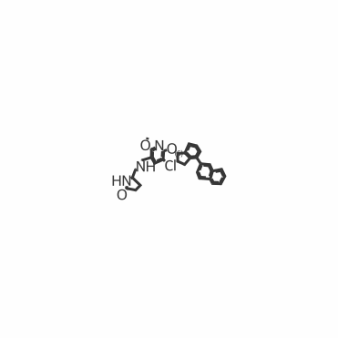 COc1nc(O[C@H]2CCc3c(-c4ccc5ccccc5c4)cccc32)c(Cl)cc1CNCC1CCC(=O)N1